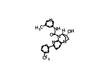 Cc1cncc(NC(=O)N2c3nc(-c4cccc(C(F)(F)F)c4)ccc3N3C[C@@H](O)[C@H]2C3)c1